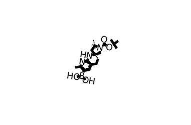 Cc1nc2c(cc1B(O)O)CC[C@@]1(C[C@H](C)N(C(=O)OC(C)(C)C)C1)N2